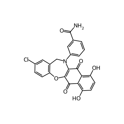 NC(=O)c1cccc(N2Cc3cc(Cl)ccc3OC3=C2C(=O)c2c(O)ccc(O)c2C3=O)c1